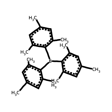 Cc1cc(C)c(B(c2c(C)cc(C)cc2C)c2c(C)cc(C)cc2C)c(C)c1